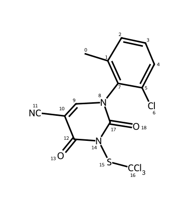 Cc1cccc(Cl)c1-n1cc(C#N)c(=O)n(SC(Cl)(Cl)Cl)c1=O